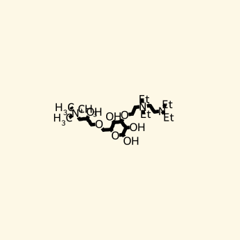 CCN(CC)CC[N+](CC)(CC)CCOC1C(O)C(O)OC(COCC(O)C[N+](C)(C)C)C1O